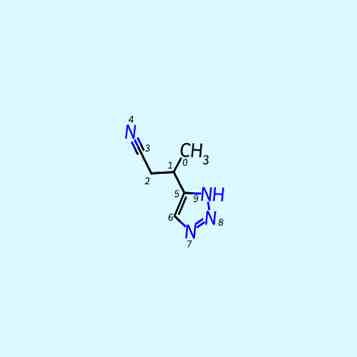 CC(CC#N)c1cnn[nH]1